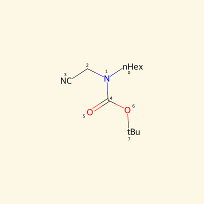 CCCCCCN(CC#N)C(=O)OC(C)(C)C